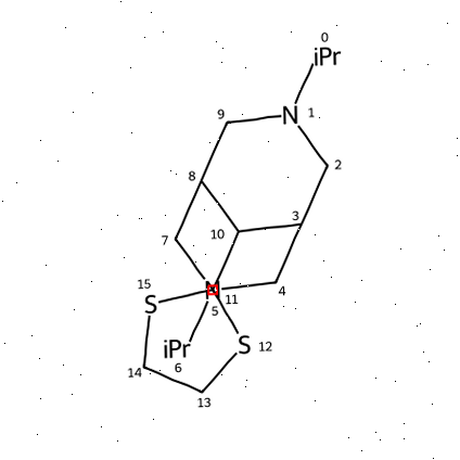 CC(C)N1CC2CN(C(C)C)CC(C1)C2C1SCCS1